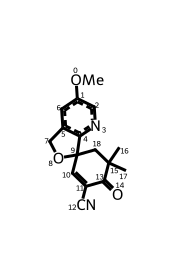 COc1cnc2c(c1)COC21C=C(C#N)C(=O)C(C)(C)C1